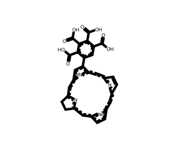 O=C(O)c1cc(-c2cc3cc4nc(cc5ccc(cc6nc(cc2[nH]3)C=C6)[nH]5)CC4)c(C(=O)O)c(C(=O)O)c1C(=O)O